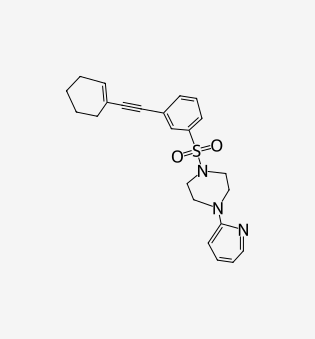 O=S(=O)(c1cccc(C#CC2=CCCCC2)c1)N1CCN(c2ccccn2)CC1